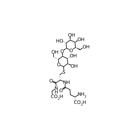 N[C@@H](CCC(=O)N[C@@H](CSC1O[C@H](CO)[C@@H](O[C@@H]2O[C@H](CO)[C@H](O)[C@H](O)[C@H]2O)[C@H](O)[C@H]1O)C(=O)NCC(=O)O)C(=O)O